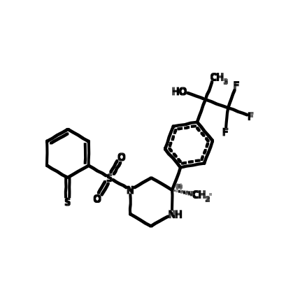 [CH2][C@@]1(c2ccc(C(C)(O)C(F)(F)F)cc2)CN(S(=O)(=O)C2=CC=CCC2=S)CCN1